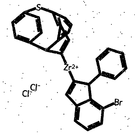 Brc1cccc2c1C(c1ccccc1)[C]([Zr+2][C]1=Cc3c4cccc3C1c1ccc(cc1)S4)=C2.[Cl-].[Cl-]